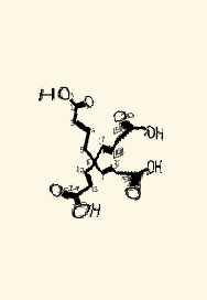 O=C(O)C=CCC(C=CC(=O)O)(C=CC(=O)O)C=CC(=O)O